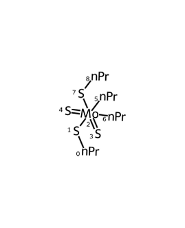 CCC[S][Mo](=[S])(=[S])([CH2]CC)([CH2]CC)[S]CCC